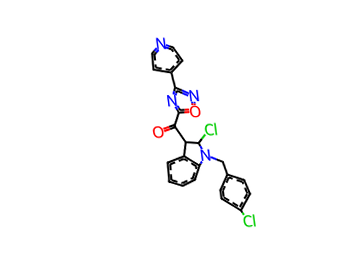 O=C(c1nc(-c2ccncc2)no1)C1c2ccccc2N(Cc2ccc(Cl)cc2)C1Cl